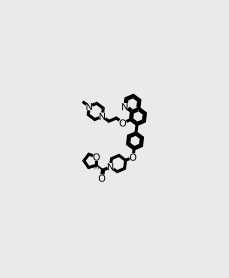 CN1CCN(CCOc2c(-c3ccc(OC4CCN(C(=O)[C@H]5CCCO5)CC4)cc3)ccc3cccnc23)CC1